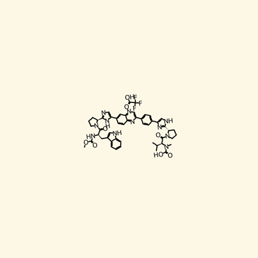 COC(=O)N[C@H](Cc1c[nH]c2ccccc12)C(=O)N1CCC[C@H]1c1ncc(-c2ccc3nc(-c4ccc(-c5c[nH]c([C@@H]6CCCN6C(=O)[C@H](C(C)C)N(C)C(=O)O)n5)cc4)cnc3c2)[nH]1.O=C(O)C(F)(F)F